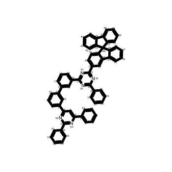 c1ccc(-c2cc(-c3cccc(-c4cccc(-c5nc(-c6ccccc6)nc(-c6ccc7c(c6)-c6ccccc6C76c7ccccc7-c7ccccc76)n5)c4)c3)nc(-c3ccccc3)n2)cc1